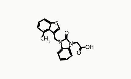 Cc1cccc2scc(Cn3c(=O)n(CC(=O)O)c4ccccc43)c12